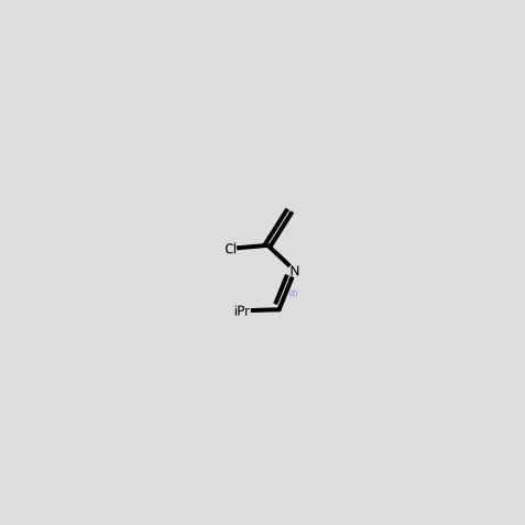 C=C(Cl)/N=C\C(C)C